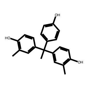 Cc1cc(C(C)(c2ccc(O)cc2)c2ccc(O)c(C)c2)ccc1O